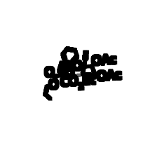 C#C[C@@]1(OC(C)=O)[C@@H](COC(Cc2ccccc2)(C(=O)O/C=C\C)C(=O)OCC)OC(OC(C)=O)[C@@H]1OC(C)=O